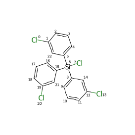 Clc1cccc([Si](Cl)(c2cccc(Cl)c2)c2cccc(Cl)c2)c1